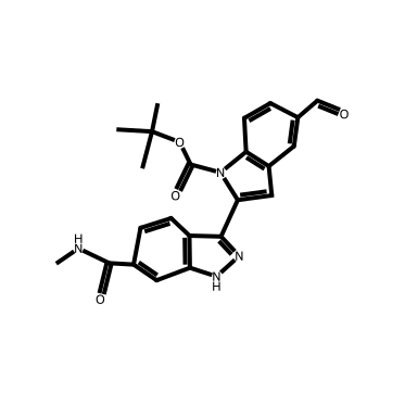 CNC(=O)c1ccc2c(-c3cc4cc(C=O)ccc4n3C(=O)OC(C)(C)C)n[nH]c2c1